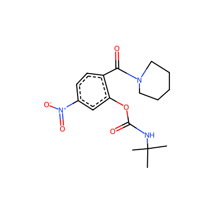 CC(C)(C)NC(=O)Oc1cc([N+](=O)[O-])ccc1C(=O)N1CCCCC1